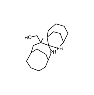 CC1(CO)CC2CCCCC(CC2)PC12PC1CCCCC2CC1